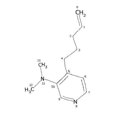 C=CCCCc1ccncc1N(C)C